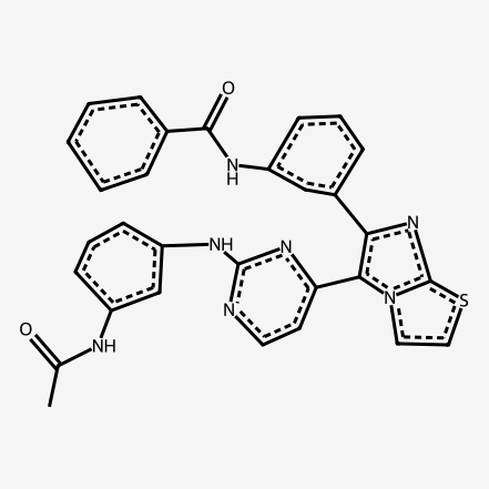 CC(=O)Nc1cccc(Nc2nccc(-c3c(-c4cccc(NC(=O)c5ccccc5)c4)nc4sccn34)n2)c1